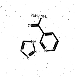 NC(=O)c1cccnc1.[PbH2].c1nnn[nH]1